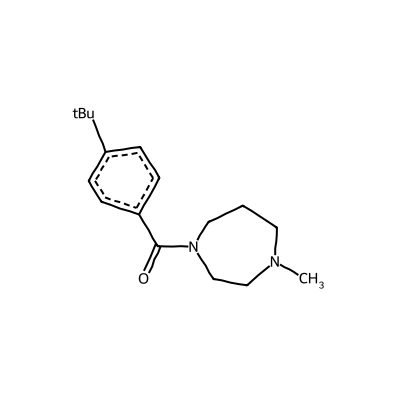 CN1CCCN(C(=O)c2ccc(C(C)(C)C)cc2)CC1